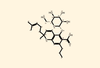 CCCc1cc2c(c(O[C@@H]3O[C@H](CO)[C@@H](O)[C@H](O)[C@H]3O)c1C(=O)O)C=CC(C)(CCC=C(C)C)O2